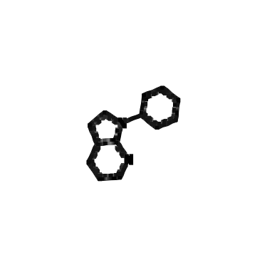 c1ccc(-n2ccc3cccnc32)cc1